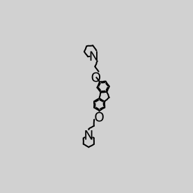 c1cc2c(cc1OCCCN1CCCCC1)Cc1ccc(OCCCN3CCCCC3)cc1-2